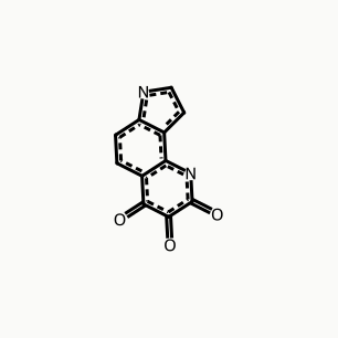 O=c1nc2c(ccc3nccc32)c(=O)c1=O